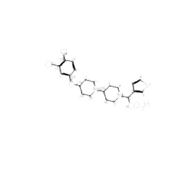 O=C(O)C(c1ccsc1)N1CCC(N2CCC(Oc3ccc(Cl)c(Cl)c3)CC2)CC1